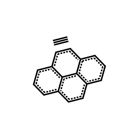 C#C.c1cc2ccc3cccc4ccc(c1)c2c34